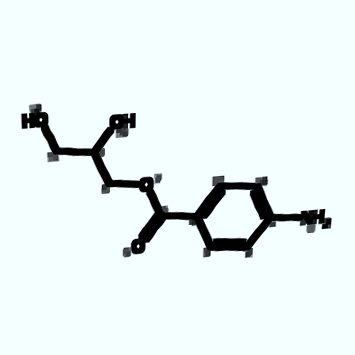 Nc1ccc(C(=O)OCC(O)CO)cc1